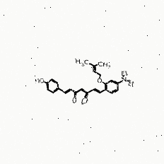 CCN(CC)c1ccc(/C=C/C(=O)CC(=O)/C=C/c2ccc(O)cc2)c(OCC=C(C)C)c1